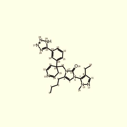 CCCCc1cn(-c2c(CC)cnn2C)c(=O)n1CC1(c2cccc(-c3nnn[nH]3)c2)C=CN=CC1